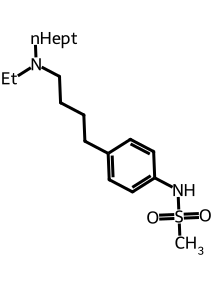 CCCCCCCN(CC)CCCCc1ccc(NS(C)(=O)=O)cc1